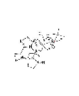 CC(C)(C)CS(=O)(=O)c1cc(N2[C@@H]3CC[C@H]2CN(C(=O)c2ccc(F)cc2Cl)C3)n2c(C3CCC3)ncc2c1